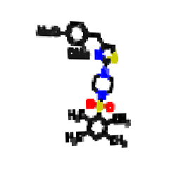 COc1ccc(Cc2csc(N3CCN(S(=O)(=O)c4c(C)c(C)cc(C)c4C)CC3)n2)c(OC)c1